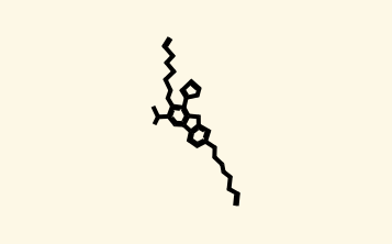 C=CCCCCCCc1ccc2c(c1)Cc1c-2cc(C(C)C)c(CCCCCCC=C)c1C1=CC=CC1